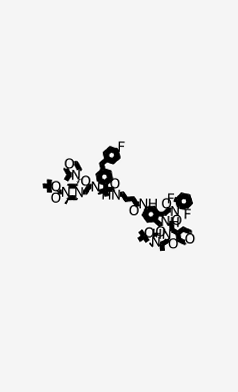 CC1COCCN1C[C@H]1CN(C(=O)OC(C)(C)C)[C@H](C)CN1CC(=O)N1CC(C)(C(=O)NCCCC(=O)Nc2ccc3c(c2)C(C(=O)Nc2c(F)cccc2F)N(C(=O)C(NC(=O)C(C)N(C)C(=O)OC(C)(C)C)C2CCOCC2)C3)c2ccc(Cc3ccc(F)cc3)cc21